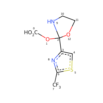 O=C(O)OC1(c2csc(C(F)(F)F)n2)NCCO1